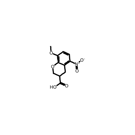 COc1ccc([N+](=O)[O-])c2c1OCC(C(=O)O)C2